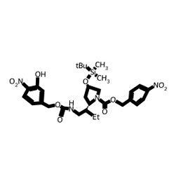 CCC(CNC(=O)OCc1ccc([N+](=O)[O-])c(O)c1)[C@@H]1C[C@@H](O[Si](C)(C)C(C)(C)C)CN1C(=O)OCc1ccc([N+](=O)[O-])cc1